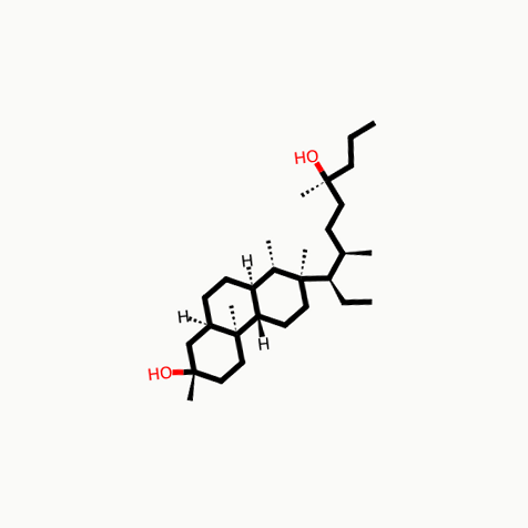 CCC[C@](C)(O)CC[C@@H](C)[C@@H](CC)[C@@]1(C)CC[C@H]2[C@@H](CC[C@@H]3C[C@@](C)(O)CC[C@@]32C)[C@@H]1C